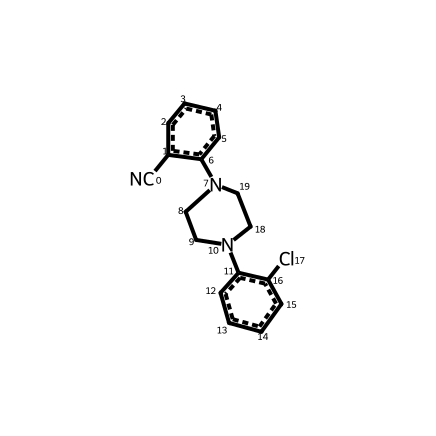 N#Cc1ccccc1N1CCN(c2ccccc2Cl)CC1